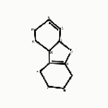 C1=CC2SC3=C(CCCC3)C2CC1